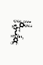 COc1cc(Nc2ncncc2/C=C/C(=O)Nc2cc(Cl)c(Cl)cc2N)cc(OC)c1OC